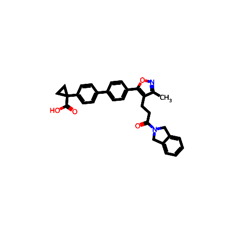 Cc1noc(-c2ccc(-c3ccc(C4(C(=O)O)CC4)cc3)cc2)c1CCC(=O)N1Cc2ccccc2C1